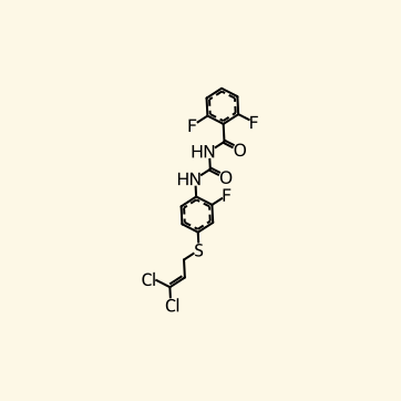 O=C(NC(=O)c1c(F)cccc1F)Nc1ccc(SCC=C(Cl)Cl)cc1F